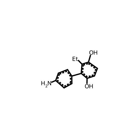 CCc1c(O)ccc(O)c1-c1ccc(N)cc1